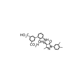 CC1=NN(c2ccc(C)c(C)c2)C(=O)/C1=N\Nc1cccc(-c2cc(C(=O)O)cc(C(=O)O)c2)c1O